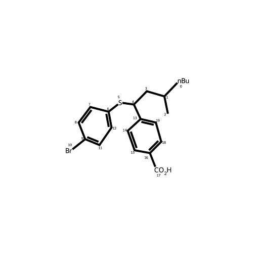 CCCCC(C)CC(Sc1ccc(Br)cc1)c1ccc(C(=O)O)cc1